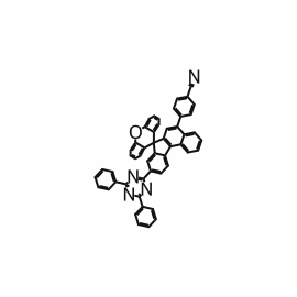 N#Cc1ccc(-c2cc3c(c4ccccc24)-c2ccc(-c4nc(-c5ccccc5)nc(-c5ccccc5)n4)cc2C32c3ccccc3Oc3ccccc32)cc1